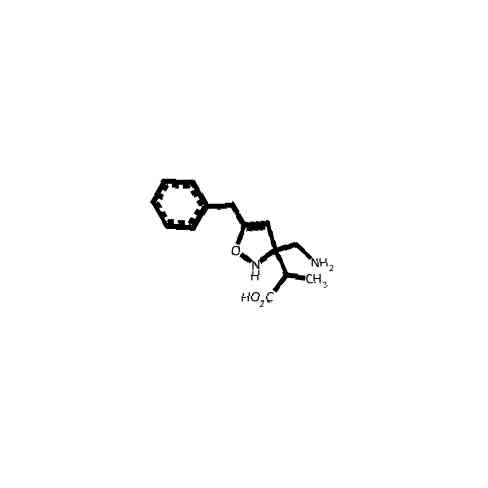 CC(C(=O)O)C1(CN)C=C(Cc2ccccc2)ON1